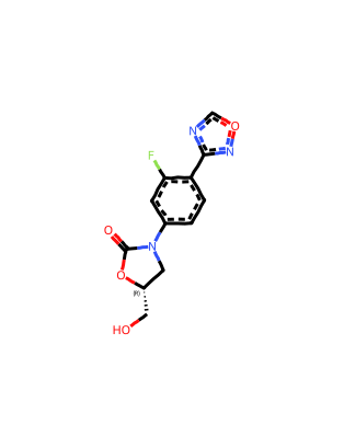 O=C1O[C@@H](CO)CN1c1ccc(-c2ncon2)c(F)c1